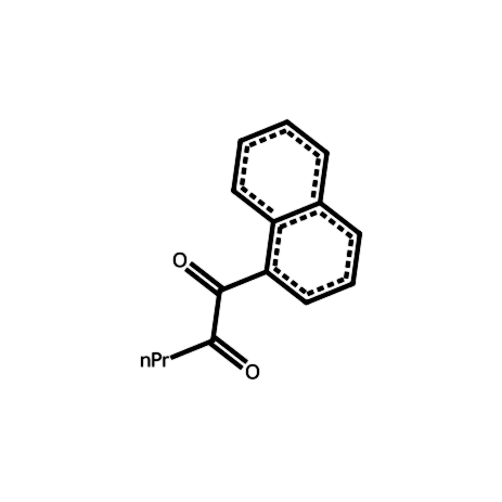 CCCC(=O)C(=O)c1cccc2ccccc12